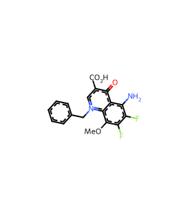 COc1c(F)c(F)c(N)c2c(=O)c(C(=O)O)cn(Cc3ccccc3)c12